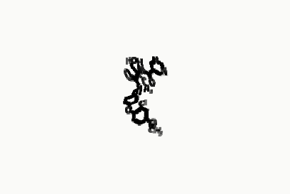 COc1ccc(Oc2ccc(CNC(=O)[C@@](C)(CO)NC(=O)c3cncnc3)cc2)c(Cl)c1